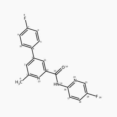 Cc1cc(-c2ccc(F)cc2)cc(C(=O)Nc2ccc(F)cn2)n1